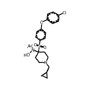 CC(=O)N(O)C1(S(=O)(=O)c2ccc(Oc3ccc(Cl)cc3)cc2)CCN(CC2CC2)CC1